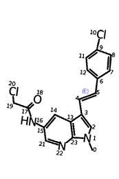 Cn1cc(/C=C/c2ccc(Cl)cc2)c2cc(NC(=O)CCl)cnc21